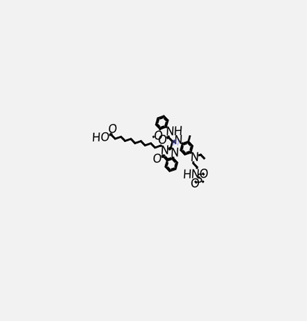 CCN(CCNS(C)(=O)=O)c1ccc(/N=C(/C(=O)Nc2ccccc2OC)c2nc3ccccc3c(=O)n2CCCCCCCCCCC(=O)O)c(C)c1